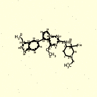 CCN1CCC(Nc2nc(OC)c3c(-c4ccc5nnn(C)c5c4)ccn3n2)C(F)(F)C1